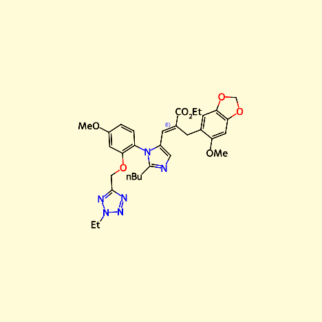 CCCCc1ncc(/C=C(\Cc2cc3c(cc2OC)OCO3)C(=O)OCC)n1-c1ccc(OC)cc1OCc1nnn(CC)n1